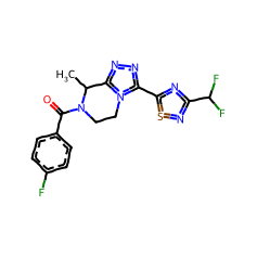 CC1c2nnc(-c3nc(C(F)F)ns3)n2CCN1C(=O)c1ccc(F)cc1